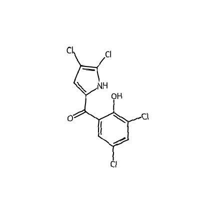 O=C(c1cc(Cl)c(Cl)[nH]1)c1cc(Cl)cc(Cl)c1O